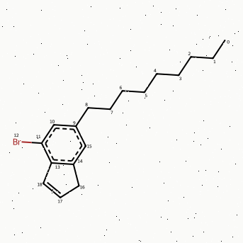 CCCCCCCCCc1cc(Br)c2c(c1)CC=C2